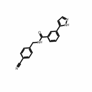 N#Cc1ccc(CNC(=O)c2cccc(-c3ccn[nH]3)c2)cc1